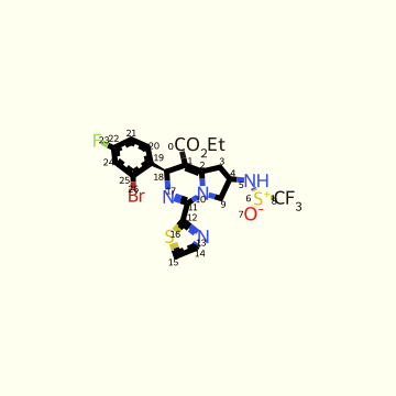 CCOC(=O)C1=C2CC(N[S+]([O-])C(F)(F)F)CN2C(c2nccs2)=N[C@H]1c1ccc(F)cc1Br